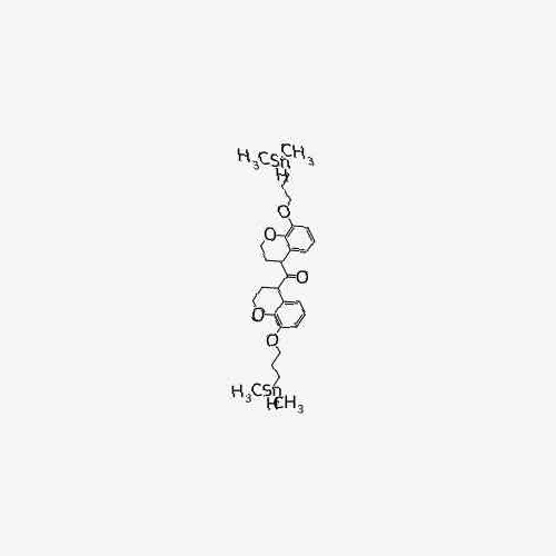 [CH3][SnH]([CH3])[CH2]CCOc1cccc2c1OCCC2C(=O)C1CCOc2c(OCC[CH2][SnH]([CH3])[CH3])cccc21